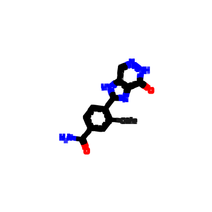 COc1cc(C(N)=O)ccc1-c1nc2c(=O)[nH]ncc2[nH]1